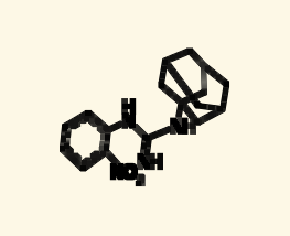 N=C(Nc1ccccc1[N+](=O)[O-])NC12CC3CC(CC(C3)C1)C2